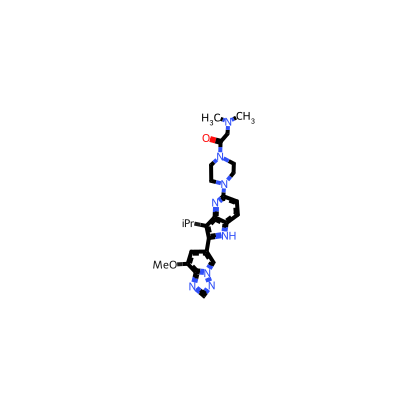 COc1cc(-c2[nH]c3ccc(N4CCN(C(=O)CN(C)C)CC4)nc3c2C(C)C)cn2ncnc12